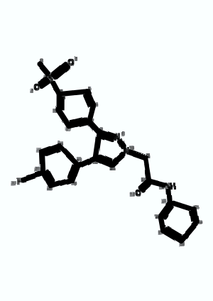 CS(=O)(=O)c1ccc(-c2nn(CC(=O)Nc3ccccc3)cc2-c2ccc(F)cc2)cc1